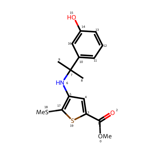 COC(=O)c1cc(NC(C)(C)c2cccc(O)c2)c(SC)s1